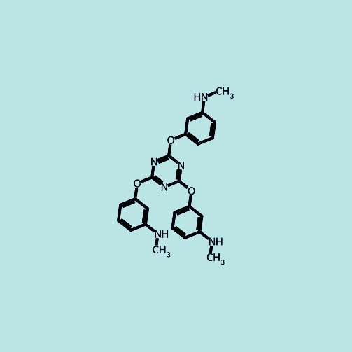 CNc1cccc(Oc2nc(Oc3cccc(NC)c3)nc(Oc3cccc(NC)c3)n2)c1